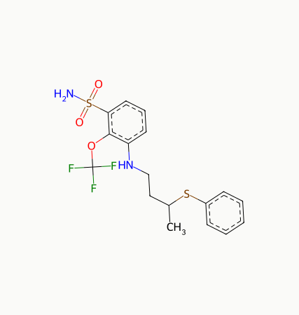 CC(CCNc1cccc(S(N)(=O)=O)c1OC(F)(F)F)Sc1ccccc1